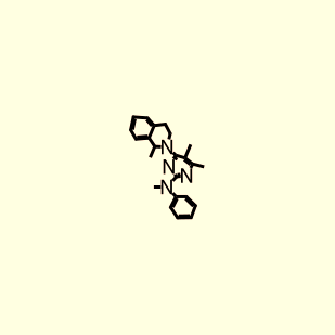 Cc1nc(N(C)c2ccccc2)nc(N2CCc3ccccc3C2C)c1C